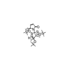 CC([SiH2]O[Si](C)(C)C)C([SiH2]O[Si](C)(C)C)([SiH2]O[Si](C)(C)C)N1C(=O)C=CC1=O